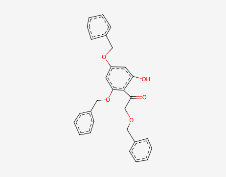 O=C(COCc1ccccc1)c1c(O)cc(OCc2ccccc2)cc1OCc1ccccc1